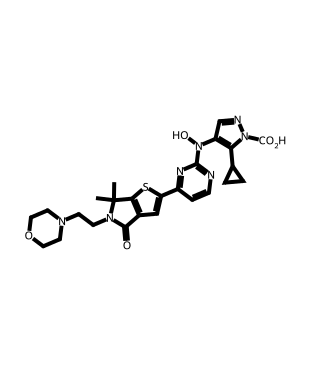 CC1(C)c2sc(-c3ccnc(N(O)c4cnn(C(=O)O)c4C4CC4)n3)cc2C(=O)N1CCN1CCOCC1